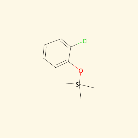 C[Si](C)(C)Oc1ccccc1Cl